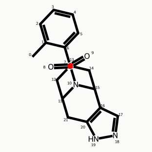 Cc1ccccc1S(=O)(=O)N1C2COCC1c1cn[nH]c1C2